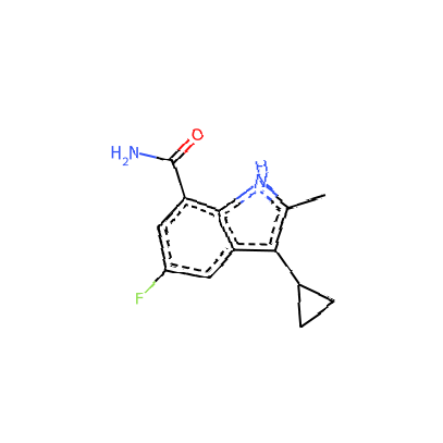 Cc1[nH]c2c(C(N)=O)cc(F)cc2c1C1CC1